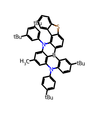 Cc1cc2c3c(c1)N(c1cc(C(C)(C)C)cc(C(C)(C)C)c1)c1c(ccc4sc5ccccc5c14)B3c1cc(C(C)(C)C)ccc1N2c1ccc(C(C)(C)C)cc1